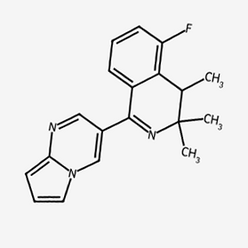 CC1c2c(F)cccc2C(c2cnc3cccn3c2)=NC1(C)C